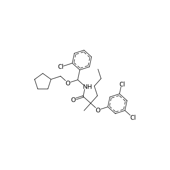 CCCCC(C)(Oc1cc(Cl)cc(Cl)c1)C(=O)NC(OCC1CCCC1)c1ccccc1Cl